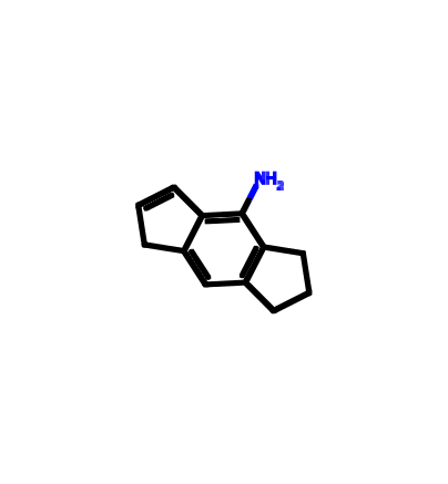 Nc1c2c(cc3c1CCC3)CC=C2